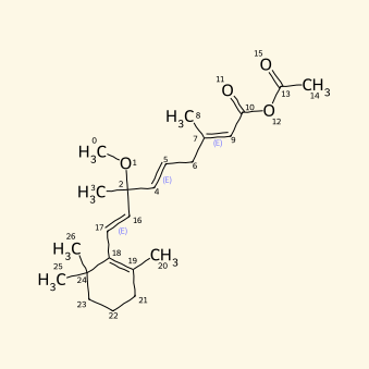 COC(C)(/C=C/C/C(C)=C/C(=O)OC(C)=O)/C=C/C1=C(C)CCCC1(C)C